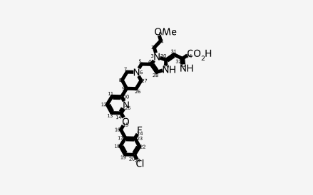 COCCN1C(CN2CCC(c3cccc(OCc4ccc(Cl)cc4F)n3)CC2)=CN/C1=C\C(=N)C(=O)O